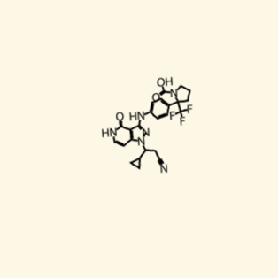 N#CCC(C1CC1)n1nc(Nc2ccc(C3(C(F)(F)F)CCCN3C(=O)O)cc2)c2c(=O)[nH]ccc21